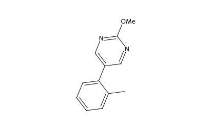 COc1ncc(-c2ccccc2C)cn1